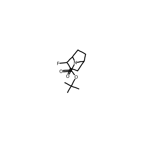 CC(C)(C)OC(=O)N1C2CCC1C(F)C(=O)C2